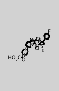 CCc1nc2ccc(N3CCN(C(=O)C(=O)O)CC3)cn2c1N(C)c1nc(-c2ccc(F)cc2)cs1